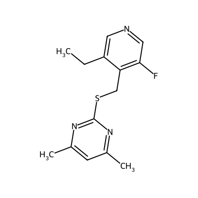 CCc1cncc(F)c1CSc1nc(C)cc(C)n1